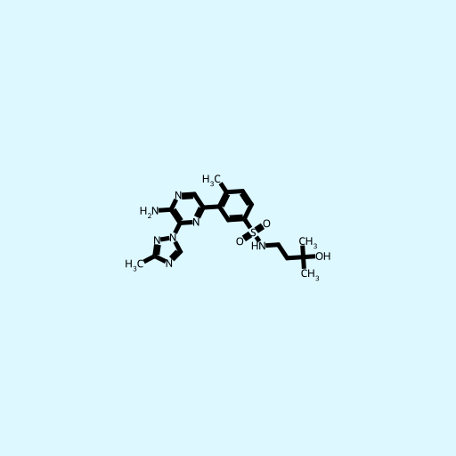 Cc1ncn(-c2nc(-c3cc(S(=O)(=O)NCCC(C)(C)O)ccc3C)cnc2N)n1